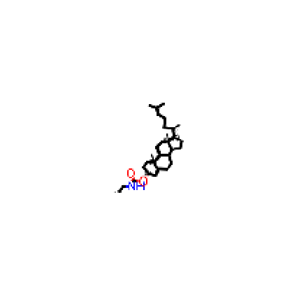 [CH2]CNC(=O)O[C@H]1CC[C@@]2(C)C(=CCC3C2CC[C@@]2(C)C3CC[C@@H]2[C@H](C)CCCC(C)C)C1